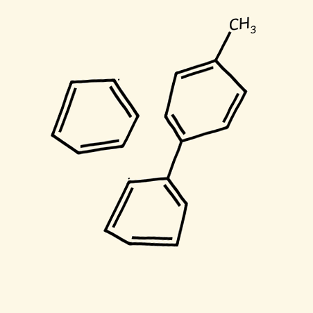 Cc1ccc(-c2[c]cccc2)cc1.[c]1ccccc1